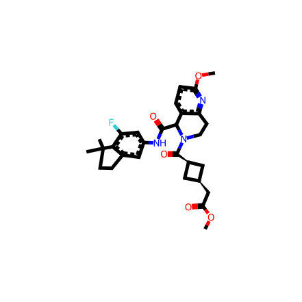 COC(=O)C[C@H]1C[C@@H](C(=O)N2CCc3nc(OC)ccc3C2C(=O)Nc2cc(F)c3c(c2)CCC3(C)C)C1